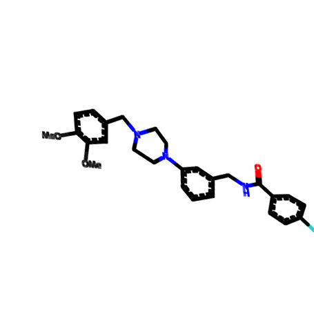 COc1ccc(CN2CCN(c3cccc(CNC(=O)c4ccc(F)cc4)c3)CC2)cc1OC